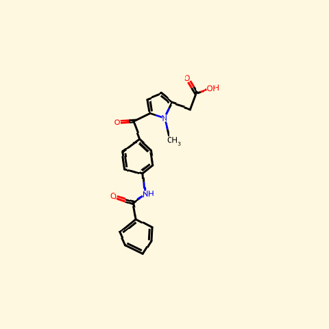 Cn1c(CC(=O)O)ccc1C(=O)c1ccc(NC(=O)c2ccccc2)cc1